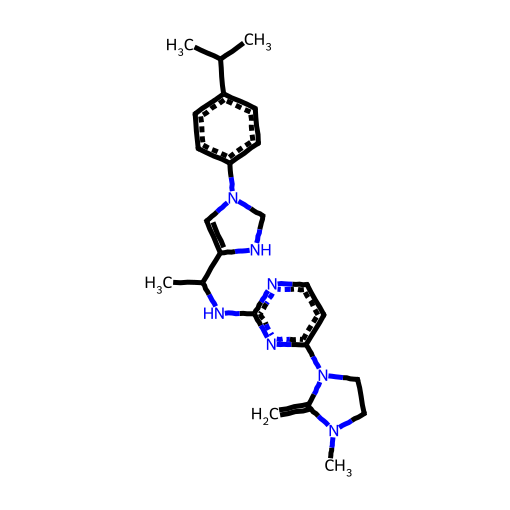 C=C1N(C)CCN1c1ccnc(NC(C)C2=CN(c3ccc(C(C)C)cc3)CN2)n1